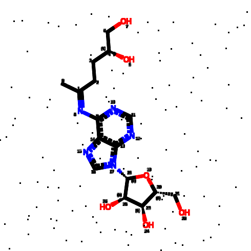 CC(CC[C@H](O)CO)=Nc1ncnc2c1ncn2[C@@H]1O[C@H](CO)[C@@H](O)[C@H]1O